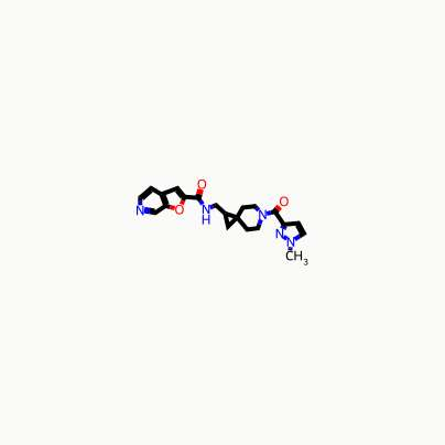 Cn1ccc(C(=O)N2CCC3(CC2)CC3CNC(=O)c2cc3ccncc3o2)n1